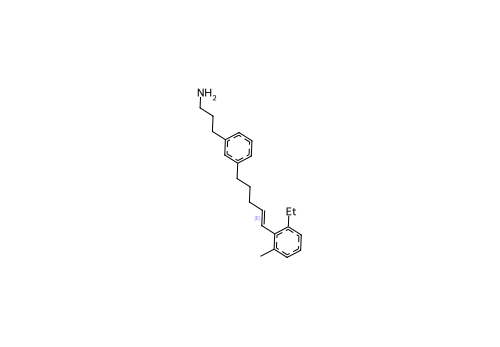 CCc1cccc(C)c1/C=C/CCCc1cccc(CCCN)c1